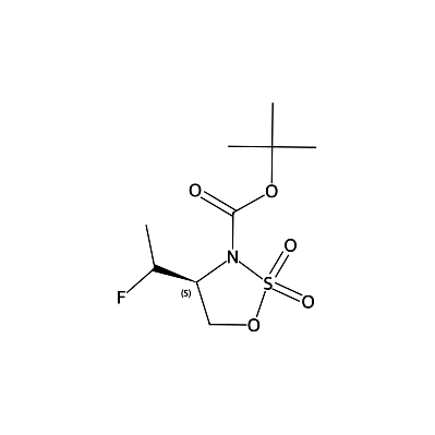 CC(F)[C@@H]1COS(=O)(=O)N1C(=O)OC(C)(C)C